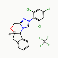 Clc1cc(Cl)c(-[n+]2cn3c(n2)CO[C@H]2Cc4ccccc4C23)c(Cl)c1.F[B-](F)(F)F